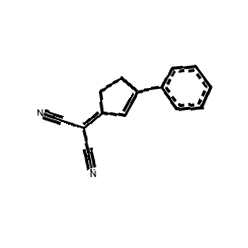 N#CC(C#N)=C1C=C(c2ccccc2)CC1